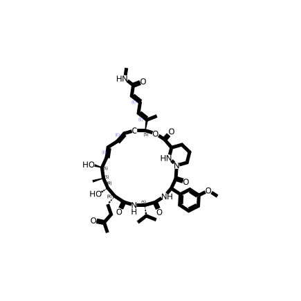 CNC(=O)/C=C/C=C(\C)[C@@H]1C/C=C/C=C/[C@H](O)[C@H](C)[C@@H](O)[C@@H](CCC(C)=O)C(=O)N[C@@H](C(C)C)C(=O)NC(c2cccc(OC)c2)C(=O)N2CCCC(N2)C(=O)O1